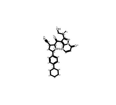 C[C@H](CO)c1nn2c(=O)cc[nH]c2c1C(=O)C1NC(c2ccc(C3CCCCC3)cc2)CC1C#N